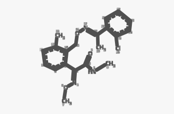 CNC(=O)/C(=N/OC)c1cccc(C)c1CO/N=C(\C)c1ccccc1Cl